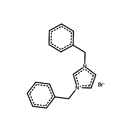 [Br-].c1ccc(Cn2cc[n+](Cc3ccccc3)c2)cc1